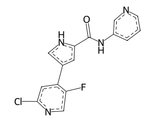 O=C(Nc1cccnc1)c1cc(-c2cc(Cl)ncc2F)c[nH]1